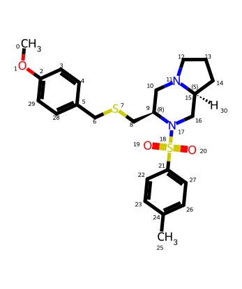 COc1ccc(CSC[C@H]2CN3CCC[C@H]3CN2S(=O)(=O)c2ccc(C)cc2)cc1